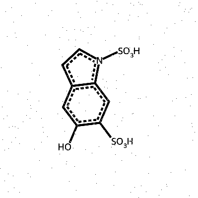 O=S(=O)(O)c1cc2c(ccn2S(=O)(=O)O)cc1O